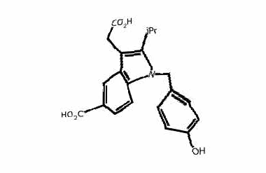 CC(C)c1c(CC(=O)O)c2cc(C(=O)O)ccc2n1Cc1ccc(O)cc1